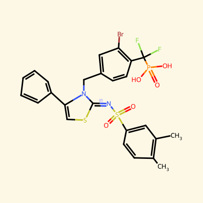 Cc1ccc(S(=O)(=O)/N=c2\scc(-c3ccccc3)n2Cc2ccc(C(F)(F)P(=O)(O)O)c(Br)c2)cc1C